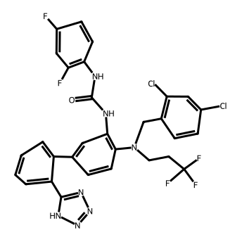 O=C(Nc1ccc(F)cc1F)Nc1cc(-c2ccccc2-c2nnn[nH]2)ccc1N(CCC(F)(F)F)Cc1ccc(Cl)cc1Cl